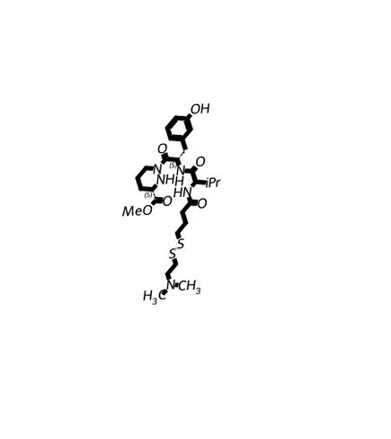 COC(=O)[C@@H]1CCCN(C(=O)[C@H](Cc2cccc(O)c2)NC(=O)C(NC(=O)CCCSSCCN(C)C)C(C)C)N1